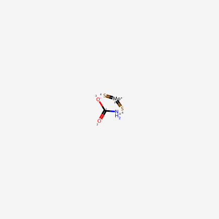 NC(=O)[O-].[S]=[Mo+]=[S]